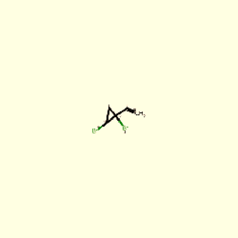 C=CC1(Br)CC1Br